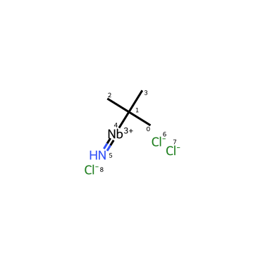 C[C](C)(C)[Nb+3]=[NH].[Cl-].[Cl-].[Cl-]